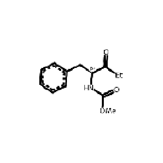 CCC(=O)[C@H](Cc1ccccc1)NC(=O)OC